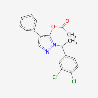 CC(=O)Oc1c(-c2ccccc2)cnn1C(C)c1ccc(Cl)c(Cl)c1